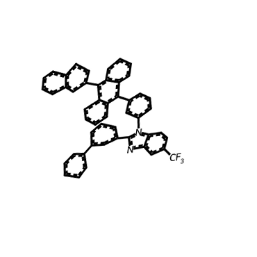 FC(F)(F)c1ccc2c(c1)nc(-c1cccc(-c3ccccc3)c1)n2-c1cccc(-c2c3ccccc3c(-c3ccc4ccccc4c3)c3ccccc23)c1